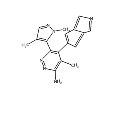 Cc1cnn(C)c1-c1nnc(N)c(C)c1C1=CC2=CN=CC2=C1